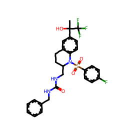 CC(O)(c1ccc2c(c1)CCC(CNC(=O)NCc1ccccc1)N2S(=O)(=O)c1ccc(F)cc1)C(F)(F)F